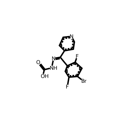 O=C(O)N/N=C(/c1ccncc1)c1cc(F)c(Br)cc1F